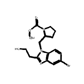 CC(C)(C)OC(=O)N1CCCC1Cn1c(CCO)nc2cc(Br)ccc21